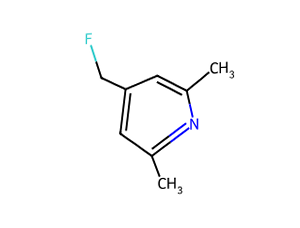 Cc1cc(CF)cc(C)n1